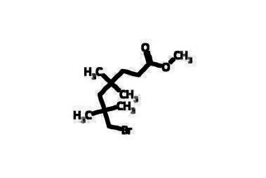 COC(=O)CCC(C)(C)CC(C)(C)CBr